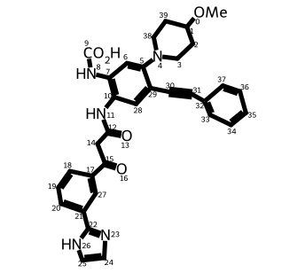 COC1CCN(c2cc(NC(=O)O)c(NC(=O)CC(=O)c3cccc(-c4ncc[nH]4)c3)cc2C#Cc2ccccc2)CC1